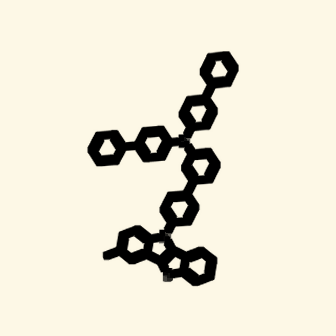 Cc1ccc2c(c1)c1sc3ccccc3c1n2-c1ccc(-c2cccc(N(c3ccc(-c4ccccc4)cc3)c3ccc(-c4ccccc4)cc3)c2)cc1